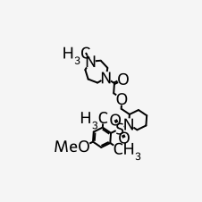 COc1cc(C)c(S(=O)(=O)N2CCCCC2COCC(=O)N2CCCN(C)CC2)c(C)c1